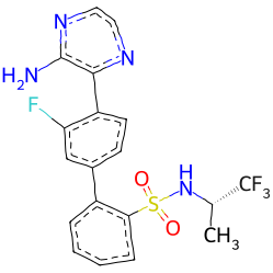 C[C@H](NS(=O)(=O)c1ccccc1-c1ccc(-c2nccnc2N)c(F)c1)C(F)(F)F